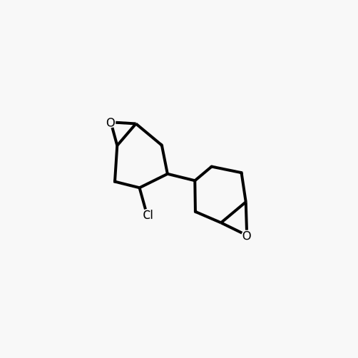 ClC1CC2OC2CC1C1CCC2OC2C1